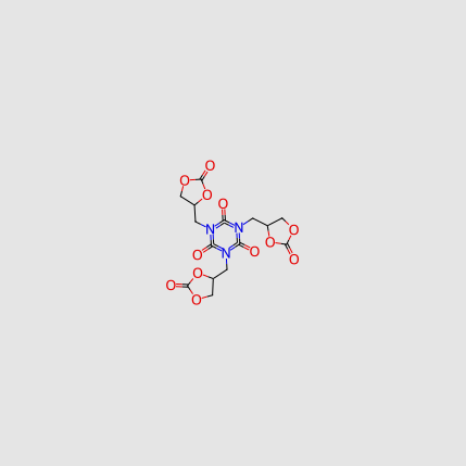 O=C1OCC(Cn2c(=O)n(CC3COC(=O)O3)c(=O)n(CC3COC(=O)O3)c2=O)O1